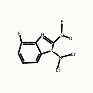 CCN(CC)n1c([S+]([O-])F)nc2c(F)cccc21